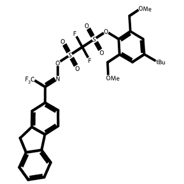 COCc1cc(C(C)(C)C)cc(COC)c1OS(=O)(=O)C(F)(F)S(=O)(=O)O/N=C(/c1ccc2c(c1)Cc1ccccc1-2)C(F)(F)F